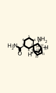 NC(=O)[C@H]1CCC[C@]2(C1)[C@@H]1CC[C@@H](C1)[C@H]2N